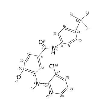 CN(c1cc(C(=O)Nc2ccc(C(C)(C)C)cc2)ccc1[O])c1ncccc1Cl